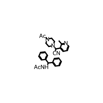 CC(=O)N1CCN(C(C#N)c2cccnc2C)CC1.CC(=O)NC(c1ccccc1)c1ccccc1